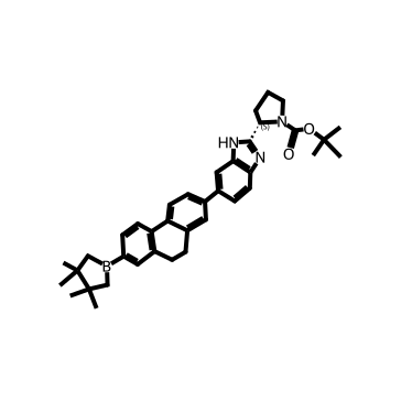 CC(C)(C)OC(=O)N1CCC[C@H]1c1nc2ccc(-c3ccc4c(c3)CCc3cc(B5CC(C)(C)C(C)(C)C5)ccc3-4)cc2[nH]1